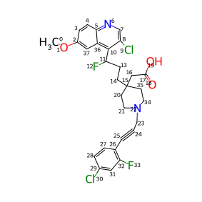 COc1ccc2ncc(Cl)c(C(F)CCC3(CC(=O)O)CCN(CC#Cc4ccc(Cl)cc4F)CC3)c2c1